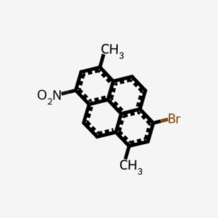 Cc1cc(Br)c2ccc3c(C)cc([N+](=O)[O-])c4ccc1c2c34